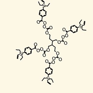 C=C[Si](CC)(CC)c1ccc(C(=O)OOC(=O)OCCC(COC(=O)OOC(=O)c2ccc([Si](C=C)(CC)CC)cc2)C(CCOC(=O)OOC(=O)c2ccc([Si](C=C)(CC)CC)cc2)COC(=O)OOC(=O)c2ccc([Si](C=C)(CC)CC)cc2)cc1